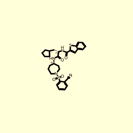 N#Cc1ccccc1S(=O)(=O)N1CCC[C@@H](NC(=O)[C@H](CC2CCCC2)NC(=O)c2cc3ccccc3s2)CC1